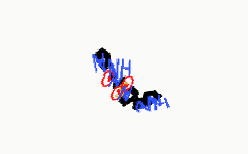 O=C(Nc1cccnc1)N1CC(S(=O)(=O)N2CCC(c3c[nH]c4ncccc34)CC2)C1